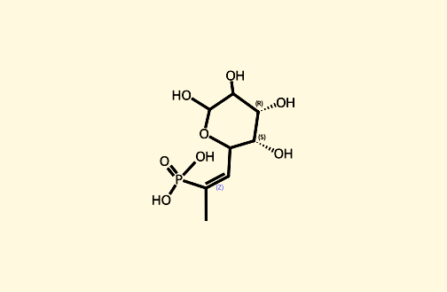 C/C(=C/C1OC(O)C(O)[C@H](O)[C@@H]1O)P(=O)(O)O